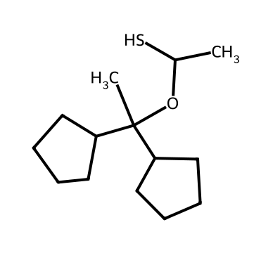 CC(S)OC(C)(C1CCCC1)C1CCCC1